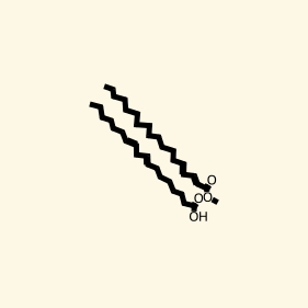 CCCCCCC=CCC=CCCCCCCC(=O)O.CCCCCCCCCCCCCC=CC=CC(=O)OC